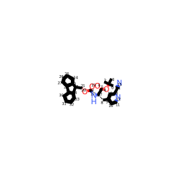 CC(C)(C)OC(=O)[C@H](Cc1ccnc(C#N)c1)NC(=O)OCC1c2ccccc2-c2ccccc21